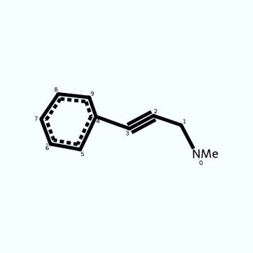 CNCC#Cc1c[c]ccc1